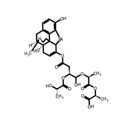 C[C@H](O)C(=O)O[C@@H](CC(=O)OC1=CC[C@@]2(O)[C@H]3Cc4ccc(O)c5c4C2(CCN3C)[C@H]1O5)C(O)O[C@@H](C)C(=O)O[C@@H](C)C(=O)O